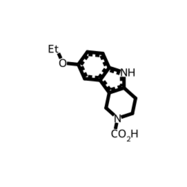 CCOc1ccc2[nH]c3c(c2c1)CN(C(=O)O)CC3